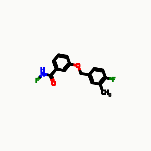 Cc1cc(COc2cccc(C(=O)NF)c2)ccc1F